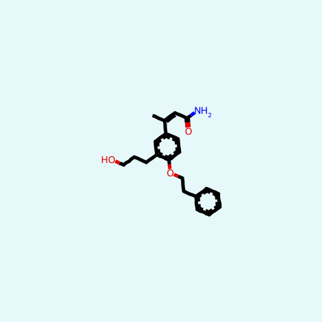 C/C(=C/C(N)=O)c1ccc(OCCc2ccccc2)c(CCCO)c1